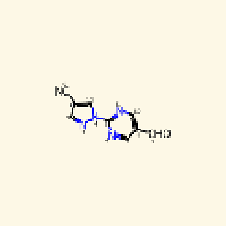 N#Cc1cnn(-c2ncc(C=O)cn2)c1